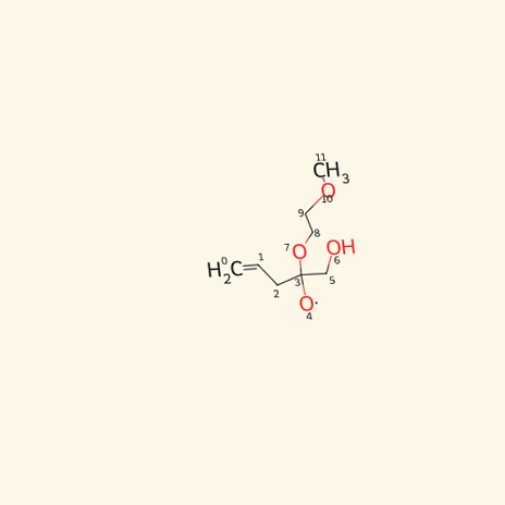 C=CCC([O])(CO)OCCOC